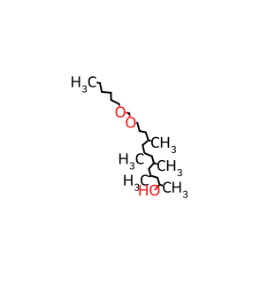 CCCCCCOCOCCCC(C)CC(C)CC(C)CC(C)CC(C)O